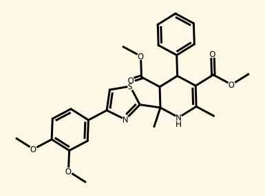 COC(=O)C1=C(C)NC(C)(c2nc(-c3ccc(OC)c(OC)c3)cs2)C(C(=O)OC)C1c1ccccc1